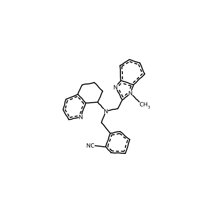 Cn1c(CN(Cc2ccccc2C#N)C2CCCc3cccnc32)nc2ccccc21